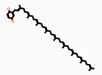 CC(C)=CCC/C(C)=C/CC/C(C)=C/CC/C(C)=C/CC/C(C)=C/CC/C(C)=C/CC/C(C)=C/CC/C(C)=C/CC/C(C)=C/CC1=CC(=O)C=CC1=O